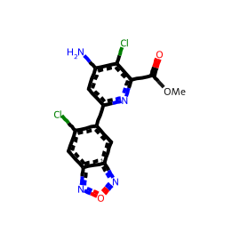 COC(=O)c1nc(-c2cc3nonc3cc2Cl)cc(N)c1Cl